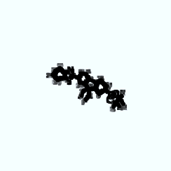 CCC1(CC)c2cc(B3OC(C)(C)C(C)(C)O3)ccc2-c2ccc(-c3nc4ccccc4s3)cc21